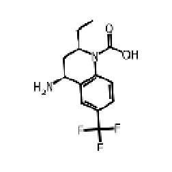 CC[C@@H]1C[C@H](N)c2cc(C(F)(F)F)ccc2N1C(=O)O